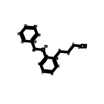 N#CCCCc1ccccc1OCc1ccccc1